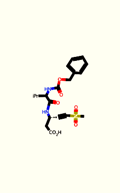 CC(C)C(NC(=O)OCc1ccccc1)C(=O)N[C@H](C#CS(C)(=O)=O)CC(=O)O